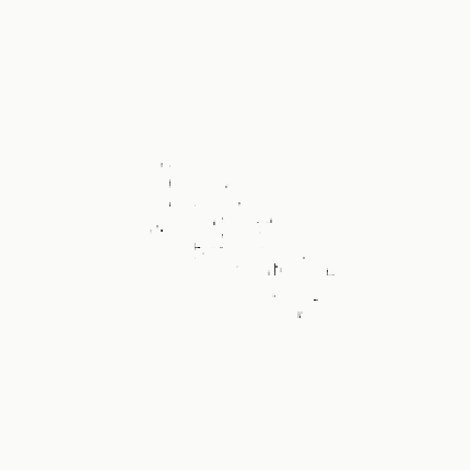 NC(=O)C1(c2ccc(N3CCOCC3)cc2)CCCCC1